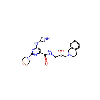 O=C(NC[C@H](O)CN1CCc2ccccc2C1)c1cc(NC2CNC2)nc(N2CCOCC2)n1